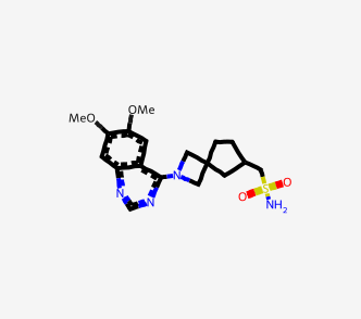 COc1cc2ncnc(N3CC4(CCC(CS(N)(=O)=O)C4)C3)c2cc1OC